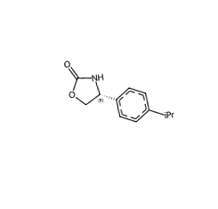 CC(C)c1ccc([C@@H]2COC(=O)N2)cc1